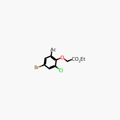 CCOC(=O)COc1c(Cl)cc(Br)cc1C(C)=O